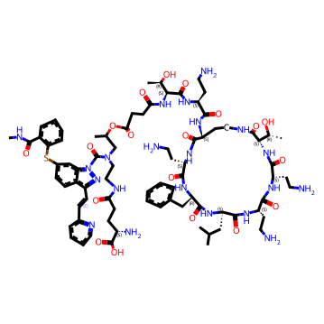 CNC(=O)c1ccccc1Sc1ccc2c(/C=C/c3ccccn3)nn(C(=O)N(CCNC(=O)CC[C@H](N)C(=O)O)CC(C)OC(=O)CCC(=O)N[C@H](C(=O)N[C@@H](CCN)C(=O)N[C@H]3CCNC(=O)[C@H]([C@@H](C)O)NC(=O)[C@H](CCN)NC(=O)[C@H](CCN)NC(=O)[C@H](CC(C)C)NC(=O)[C@@H](Cc4ccccc4)NC(=O)[C@H](CCN)NC3=O)[C@@H](C)O)c2c1